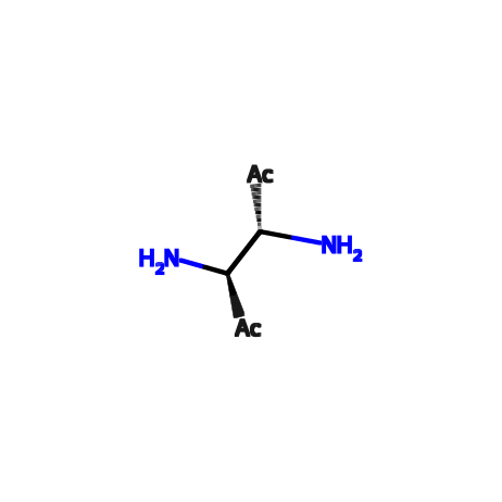 CC(=O)[C@@H](N)[C@@H](N)C(C)=O